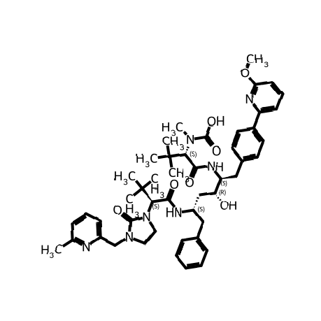 COc1cccc(-c2ccc(C[C@H](NC(=O)[C@@H](N(C)C(=O)O)C(C)(C)C)[C@H](O)C[C@H](Cc3ccccc3)NC(=O)[C@@H](N3CCN(Cc4cccc(C)n4)C3=O)C(C)(C)C)cc2)n1